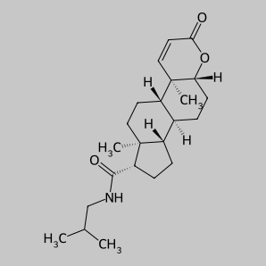 CC(C)CNC(=O)[C@H]1CC[C@H]2[C@@H]3CC[C@H]4OC(=O)C=C[C@]4(C)[C@H]3CC[C@]12C